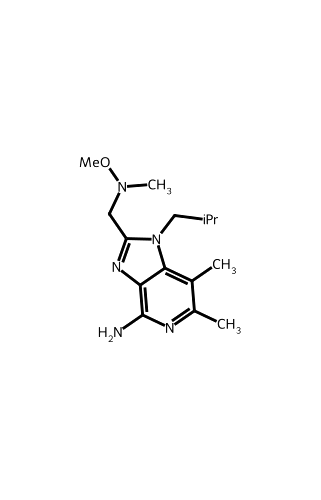 CON(C)Cc1nc2c(N)nc(C)c(C)c2n1CC(C)C